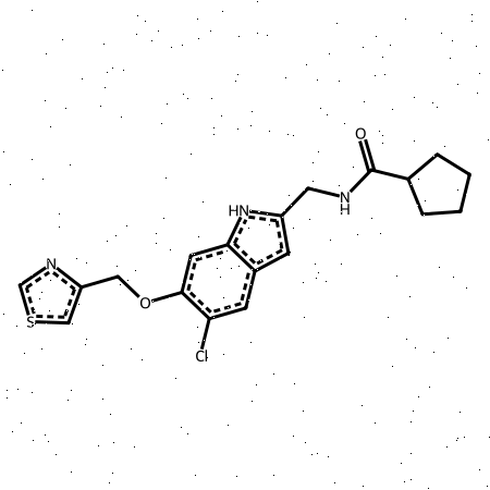 O=C(NCc1cc2cc(Cl)c(OCc3cscn3)cc2[nH]1)C1CCCC1